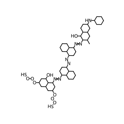 CC1CC2CC(NC3CCCCC3)CCC2C(O)C1N=NC1CCC(N=NC2CCC(N=NC3CC(OOOS)CC4CC(OOOS)CC(O)C43)C3CCCCC23)C2CCCCC12